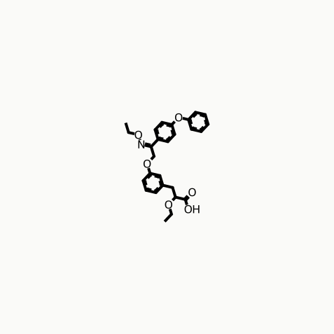 CCON=C(COc1cccc(CC(OCC)C(=O)O)c1)c1ccc(Oc2ccccc2)cc1